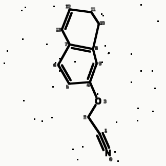 N#CCOc1ccc2c(c1)CCC=C2